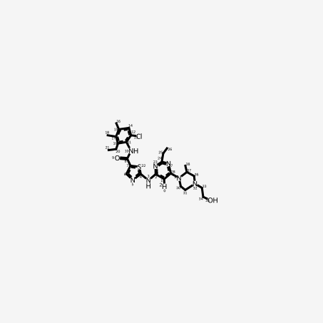 [2H]c1c(Nc2ncc(C(=O)Nc3c(Cl)cc(C)c(C)c3CC)s2)nc(CC)nc1N1CCN(CCO)CC1C